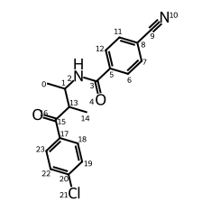 CC(NC(=O)c1ccc(C#N)cc1)C(C)C(=O)c1ccc(Cl)cc1